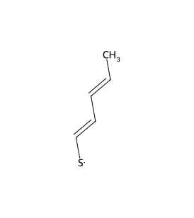 C/C=C/C=C/[S]